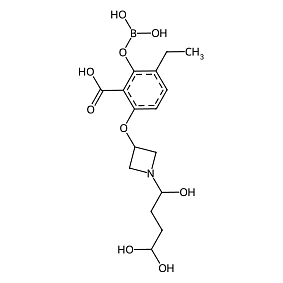 CCc1ccc(OC2CN(C(O)CCC(O)O)C2)c(C(=O)O)c1OB(O)O